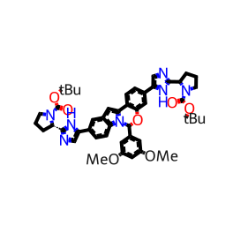 COc1cc(OC)cc(C2Oc3cc(-c4cnc(C5CCCN5C(=O)OC(C)(C)C)[nH]4)ccc3-c3cc4cc(-c5cnc([C@@H]6CCCN6C(=O)OC(C)(C)C)[nH]5)ccc4n32)c1